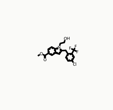 COC(=O)c1ccc2c(c1)cc(Cc1ccc(Cl)cc1C(F)(F)F)n2CCO